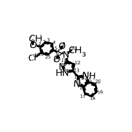 COc1ccc(S(=O)(=O)N(C)c2cc(-c3nc4ccccc4[nH]3)[nH]n2)cc1Cl